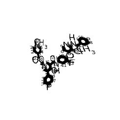 CC(Nc1nccc(Oc2ccc(NC(=O)c3cn(COC(=O)C4CCN(C)CC4)cc(-c4ccc(F)cc4)c3=O)cc2F)c1Cl)c1ccccc1